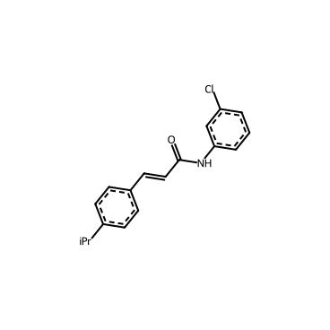 CC(C)c1ccc(C=CC(=O)Nc2cccc(Cl)c2)cc1